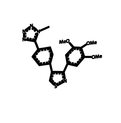 COc1cc(-c2nscc2-c2ccc(-c3nnnn3C)cc2)cc(OC)c1OC